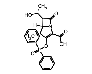 C[C@@H](O)[C@H]1C(=O)N2C(C(=O)O)=C(OP(=O)(c3ccccc3)c3ccccc3)[C@H](C)[C@H]12